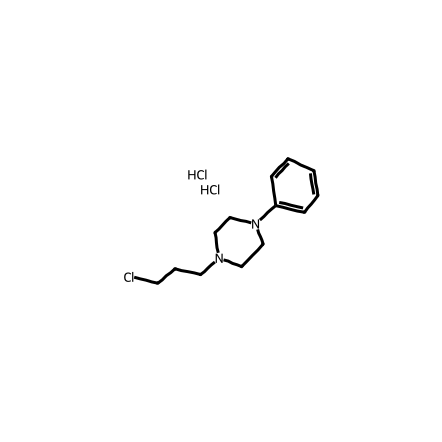 Cl.Cl.ClCCCN1CCN(c2ccccc2)CC1